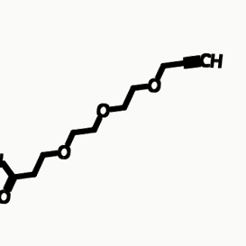 C#CCOCCOCCOCCC(=O)I